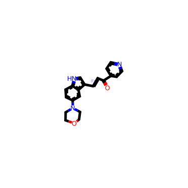 O=C(/C=C/c1c[nH]c2ccc(N3CCOCC3)cc12)c1ccncc1